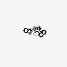 O=C(Nc1cc2ccccc2cn1)C(c1cccc2ccccc12)P(=O)(O)O